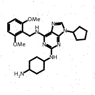 COc1cccc(OC)c1CNc1nc(NC2CCC(N)CC2)nc2c1ncn2C1CCCC1